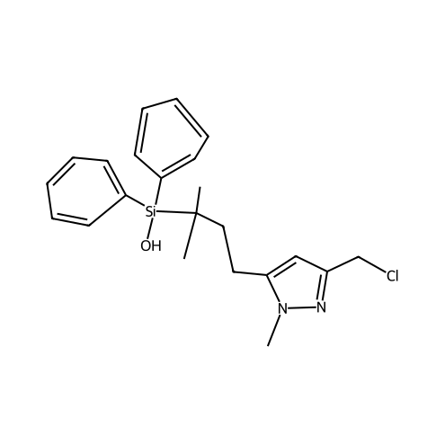 Cn1nc(CCl)cc1CCC(C)(C)[Si](O)(c1ccccc1)c1ccccc1